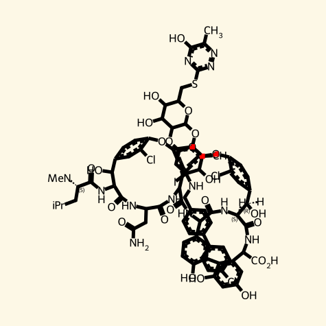 CN[C@@H](CC(C)C)C(=O)NC1C(=O)NC(CC(N)=O)C(=O)NC2C(=O)NC3C(=O)N[C@H](C(=O)NC(C(=O)O)c4cc(O)cc(O)c4-c4cc3ccc4O)[C@H](O)c3ccc(c(Cl)c3)Oc3cc2cc(c3OC2OC(CSc3nnc(C)c(O)n3)C(O)C(O)C2OC2CC(I)(NCc3ccc(-c4ccc(Cl)cc4)cc3)C(O)C(C)O2)Oc2ccc(cc2Cl)C1O